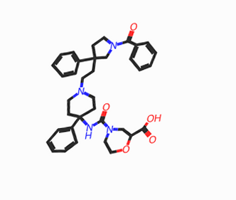 O=C(O)C1CN(C(=O)NC2(c3ccccc3)CCN(CCC3(c4ccccc4)CCN(C(=O)c4ccccc4)C3)CC2)CCO1